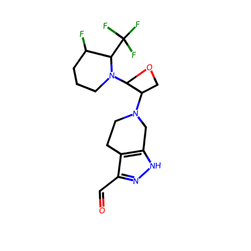 O=Cc1n[nH]c2c1CCN(C1COC1N1CCCC(F)C1C(F)(F)F)C2